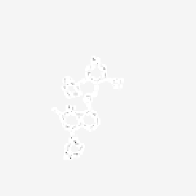 Cc1cc(-n2ccnc2)c2cccc(OCc3c(Cl)cncc3-c3ccco3)c2n1